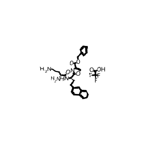 NCCC[C@@H](N)C(=O)N[C@H](CCc1ccc2ccccc2c1)c1nc(C(=O)OCc2ccccc2)co1.O=C(O)C(F)(F)F